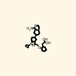 Nc1nccc2ccc(-c3ccc4c(c3)c(COc3ccccc3CC(O)O)nn4C3CCC3)cc12